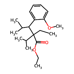 CCOC(=O)C(CC)(C(C)C)C(c1ccccc1OC)C(C)C